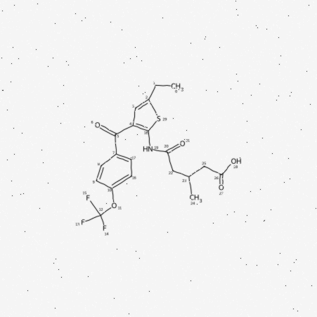 CCc1cc(C(=O)c2ccc(OC(F)(F)F)cc2)c(NC(=O)CC(C)CC(=O)O)s1